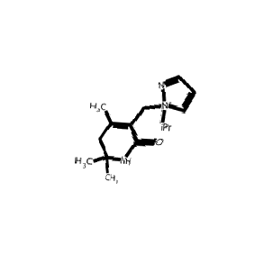 CC1=C(C[N+]2(C(C)C)C=CC=N2)C(=O)NC(C)(C)C1